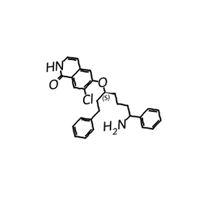 NC(CCC[C@@H](CCc1ccccc1)Oc1cc2cc[nH]c(=O)c2cc1Cl)c1ccccc1